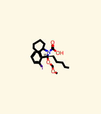 CCCCC[C@@](OCOC)(c1ccccc1I)N(C(=O)O)C1CCCCC1